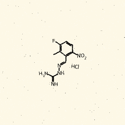 Cc1c(F)ccc([N+](=O)[O-])c1C=NNC(=N)N.Cl